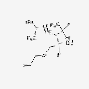 C=CCOCC(F)(C(F)C(F)(C(F)(F)F)C(F)(F)F)C(F)(F)F.CCCCC(O)C(F)(F)F